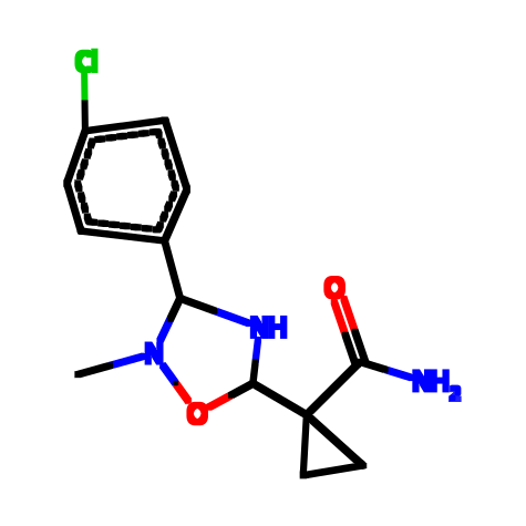 CN1OC(C2(C(N)=O)CC2)NC1c1ccc(Cl)cc1